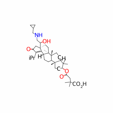 CC(C)C1=C2[C@H]3CCC4[C@@]5(C)CC[C@H](OC(=O)CC(C)(C)C(=O)O)C(C)(C)[C@H]5CC[C@@]4(C)[C@]3(C)CC[C@@]2([C@H](O)CNCC2CC2)CC1=O